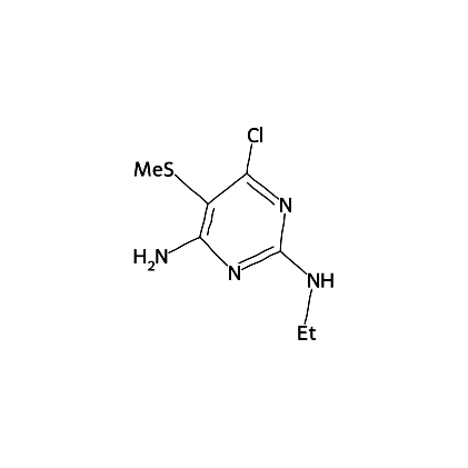 CCNc1nc(N)c(SC)c(Cl)n1